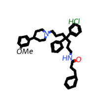 COc1cccc(C2CCN(CCCC(CCCNC(=O)CCc3ccccc3)(c3ccccc3)c3ccccc3)CC2)c1.Cl